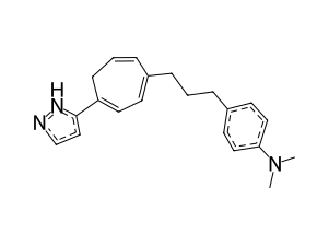 CN(C)c1ccc(CCCC2=CC=C(c3ccn[nH]3)CC=C2)cc1